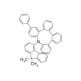 CC1(C)c2ccccc2-c2c(-n3c4ccccc4c4ccccc4c4ccccc4c4cc(-c5ccccc5)ccc43)cccc21